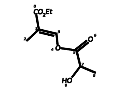 CCOC(=O)C(C)=COC(=O)C(C)O